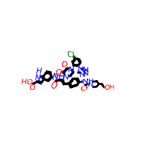 O=C(O)c1cc2cc(NC(=O)C(Cc3ccc(NC(=O)N4CCC(CCO)CC4)cc3)N3CCN(c4cc(Cl)ccc4-n4cnnn4)C(=O)C3=O)ccc2[nH]1